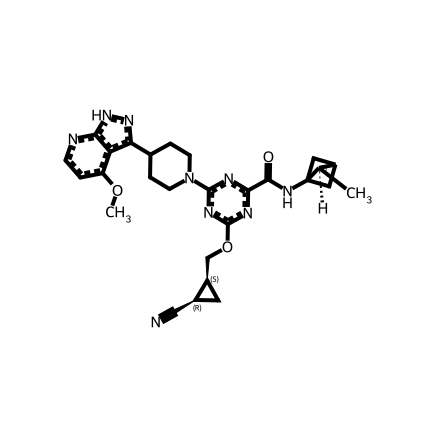 COc1ccnc2[nH]nc(C3CCN(c4nc(OC[C@H]5C[C@H]5C#N)nc(C(=O)NC56CC(C5)[C@H]6C)n4)CC3)c12